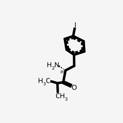 CC(C)C(=O)[C@H](N)Cc1ccc(I)cc1